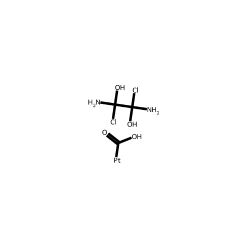 NC(O)(Cl)C(N)(O)Cl.O=[C](O)[Pt]